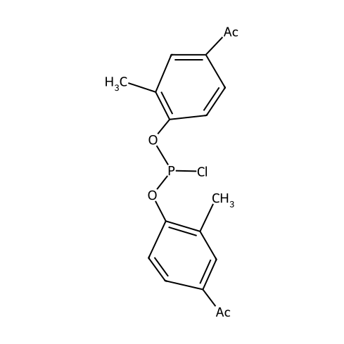 CC(=O)c1ccc(OP(Cl)Oc2ccc(C(C)=O)cc2C)c(C)c1